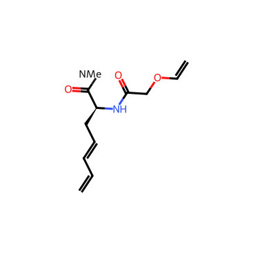 C=C/C=C/C[C@H](NC(=O)COC=C)C(=O)NC